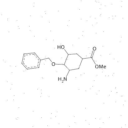 COC(=O)C1CC(N)C(OCc2ccccc2)C(O)C1